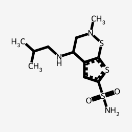 CC(C)CNC1CN(C)Sc2sc(S(N)(=O)=O)cc21